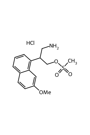 COc1ccc2cccc(C(CN)COS(C)(=O)=O)c2c1.Cl